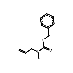 C=CCN(C)C(=O)OCc1ccccc1